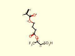 C=C(C)C(=O)OCCCC(=O)OC(CS(=O)(=O)O)C(F)(F)F